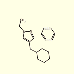 CCn1cc(CC2CCCCC2)cn1.c1ccccc1